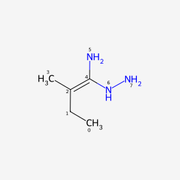 CCC(C)=C(N)NN